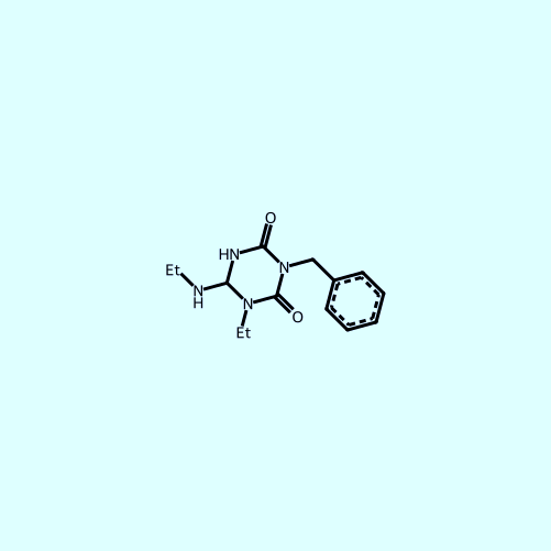 CCNC1NC(=O)N(Cc2ccccc2)C(=O)N1CC